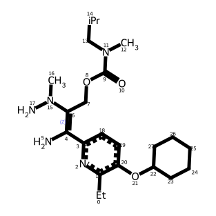 CCc1nc(/C(N)=C(\COC(=O)N(C)CC(C)C)N(C)N)ccc1OC1CCCCC1